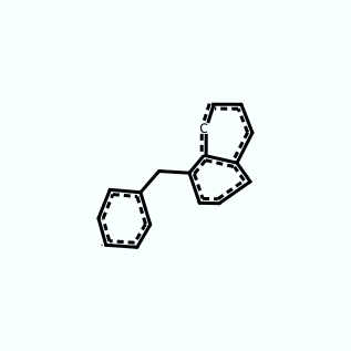 [c]1ccc(Cc2cccc3ccccc23)cc1